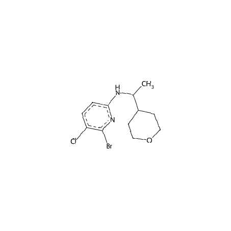 CC(Nc1ccc(Cl)c(Br)n1)C1CCOCC1